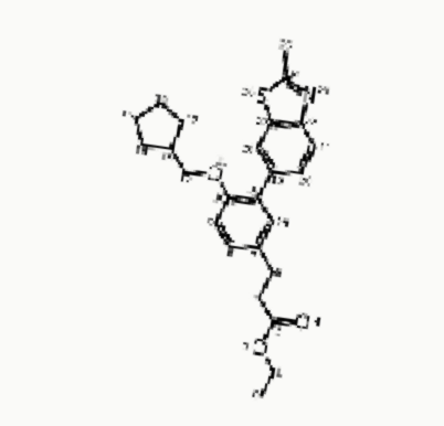 CCOC(=O)CCc1ccc(OCC2CCCC2)c(-c2ccc3nc(C)sc3c2)c1